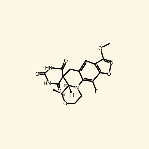 COc1noc2c(F)c3c(cc12)CC1(C(=O)NC(=O)NC1=O)[C@H]1[C@H](C)OCCN31